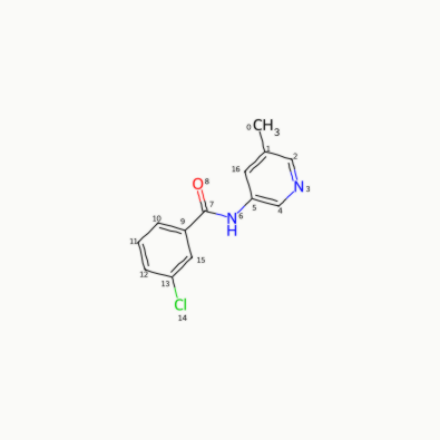 Cc1cncc(NC(=O)c2cccc(Cl)c2)c1